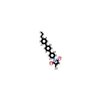 CCCc1ccc(-c2ccc(-c3ccc(N4C(=O)C=C(C)C4=O)cc3)cc2)cc1